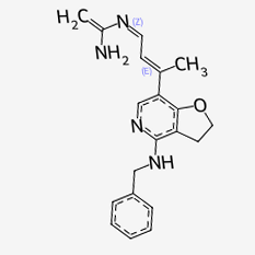 C=C(N)/N=C\C=C(/C)c1cnc(NCc2ccccc2)c2c1OCC2